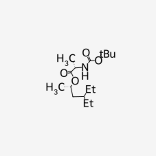 CCC(CC)C[C@H](C)OC(=O)[C@H](C)NC(=O)OC(C)(C)C